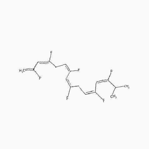 C=C(F)/C=C(/F)C/C=C(F)\C=C(\F)C/C=C(F)\C=C(\F)C(C)C